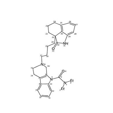 CCN(CC)C(=O)n1c2c(c3ccccc31)CCN(CCCCC13CCCc4cccc(c41)NC3=O)C2